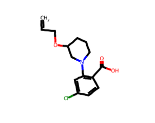 C=CCOC1CCCN(c2cc(Cl)ccc2C(=O)O)C1